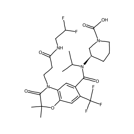 CC(C)N(C(=O)c1cc2c(cc1C(F)(F)F)OC(C)(C)C(=O)N2CCC(=O)NCC(F)F)[C@@H]1CCCN(C(=O)O)C1